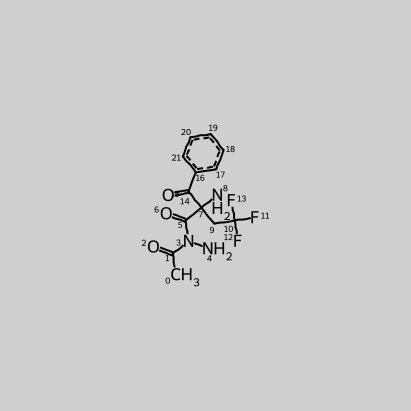 CC(=O)N(N)C(=O)C(N)(CC(F)(F)F)C(=O)c1ccccc1